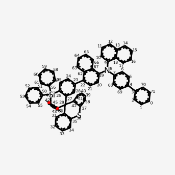 c1ccc(-c2ccc(N(c3cccc4ccccc34)c3ccc(-c4ccc5c(c4)C4(c6ccccc6Sc6ccccc64)c4ccccc4[Si]5(c4ccccc4)c4ccccc4)c4ccccc34)cc2)cc1